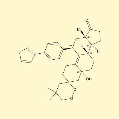 CC[C@]12C[C@H](c3ccc(-c4ccsc4)cc3)C3=C4CCC5(CC(C)(C)COO5)C[C@]4(O)CC[C@H]3[C@@H]1CCC2=O